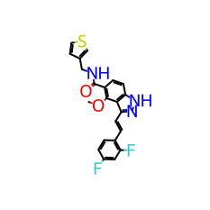 COc1c(C(=O)NCc2ccsc2)ccc2[nH]nc(/C=C/c3ccc(F)cc3F)c12